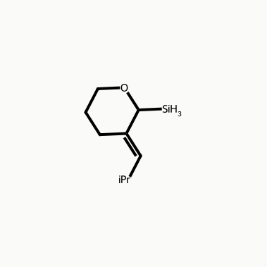 CC(C)C=C1CCCOC1[SiH3]